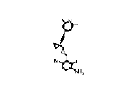 Cc1cc(C#CC2(COCc3c(Br)ccc(N)c3I)CC2)cc(C)n1